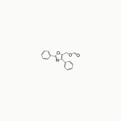 O=COCc1oc(-c2ccccc2)nc1-c1ccccc1